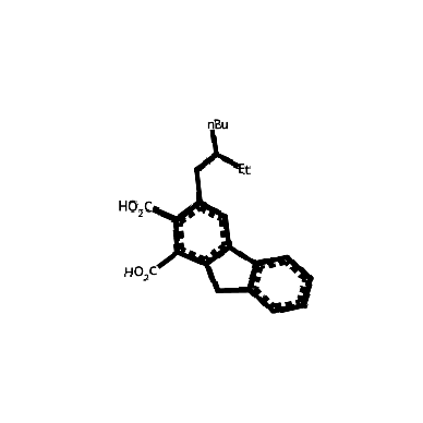 CCCCC(CC)Cc1cc2c(c(C(=O)O)c1C(=O)O)Cc1ccccc1-2